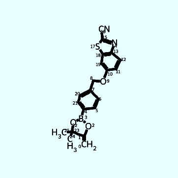 C=C1OB(c2ccc(COc3ccc4nc(C#N)sc4c3)cc2)OC1(C)C